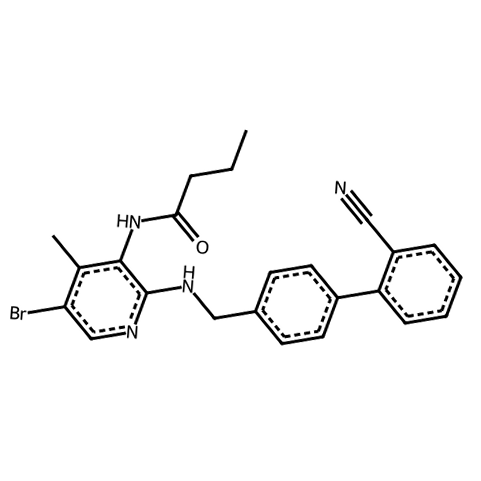 CCCC(=O)Nc1c(NCc2ccc(-c3ccccc3C#N)cc2)ncc(Br)c1C